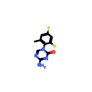 Cc1cc(F)cc(F)c1-n1cnc(N)nc1=O